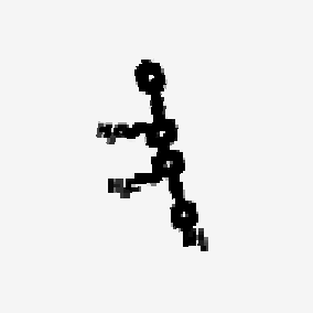 Bc1ccc(C#Cc2ccc(-c3ccc(C#Cc4ccccc4)c(CCC)c3)cc2CCC)cc1